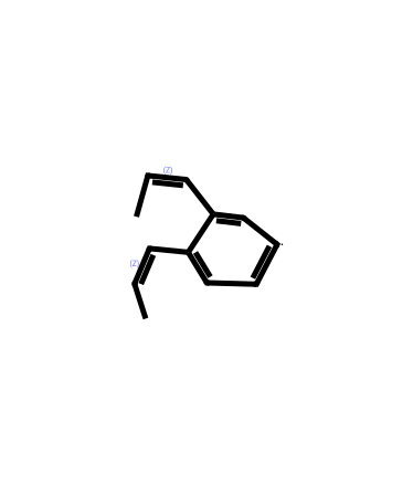 C/C=C\c1c[c]ccc1/C=C\C